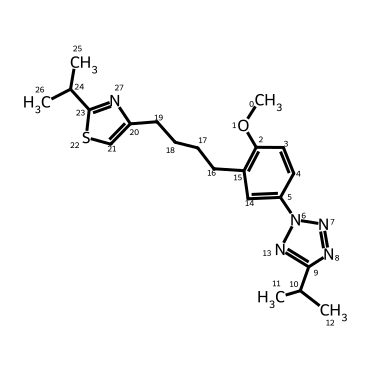 COc1ccc(-n2nnc(C(C)C)n2)cc1CCCCc1csc(C(C)C)n1